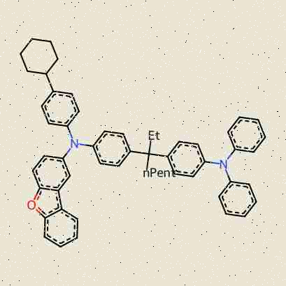 CCCCCC(CC)(c1ccc(N(c2ccccc2)c2ccccc2)cc1)c1ccc(N(c2ccc(C3CCCCC3)cc2)c2ccc3oc4ccccc4c3c2)cc1